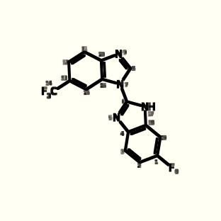 Fc1ccc2nc(-n3cnc4ccc(C(F)(F)F)cc43)[nH]c2c1